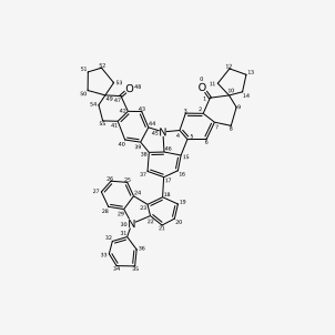 O=C1c2cc3c(cc2CCC12CCCC2)c1cc(-c2cccc4c2c2ccccc2n4-c2ccccc2)cc2c4cc5c(cc4n3c12)C(=O)C1(CCCC1)CC5